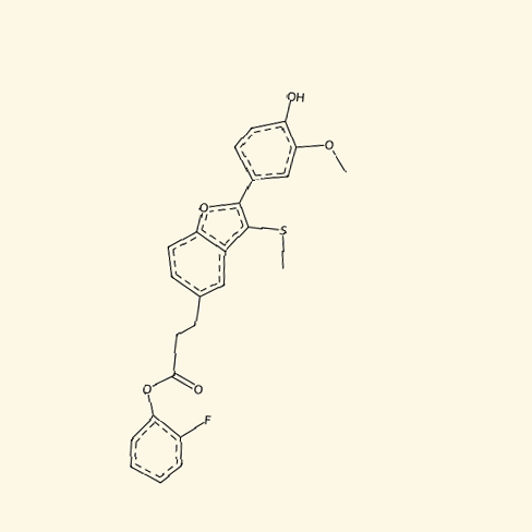 COc1cc(-c2oc3ccc(CCC(=O)Oc4ccccc4F)cc3c2SC)ccc1O